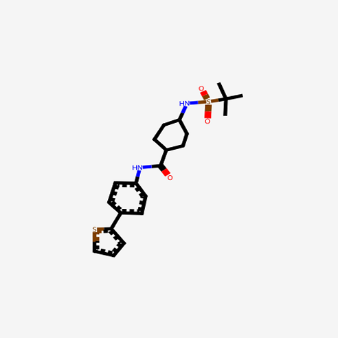 CC(C)(C)S(=O)(=O)NC1CCC(C(=O)Nc2ccc(-c3cccs3)cc2)CC1